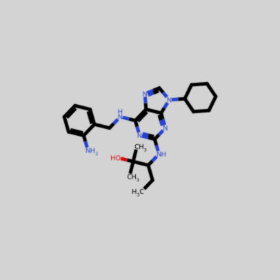 CCC(Nc1nc(NCc2ccccc2N)c2ncn(C3CCCCC3)c2n1)C(C)(C)O